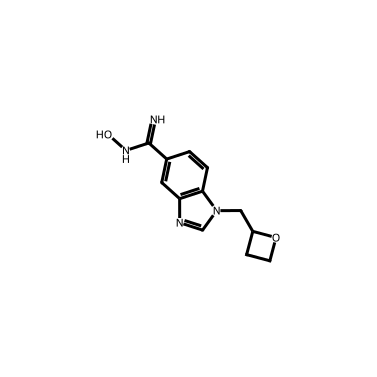 N=C(NO)c1ccc2c(c1)ncn2CC1CCO1